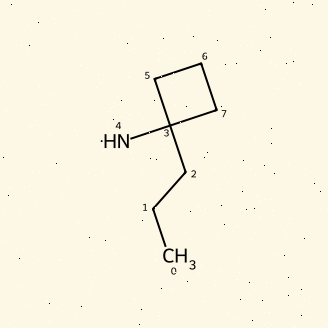 CCCC1([NH])CCC1